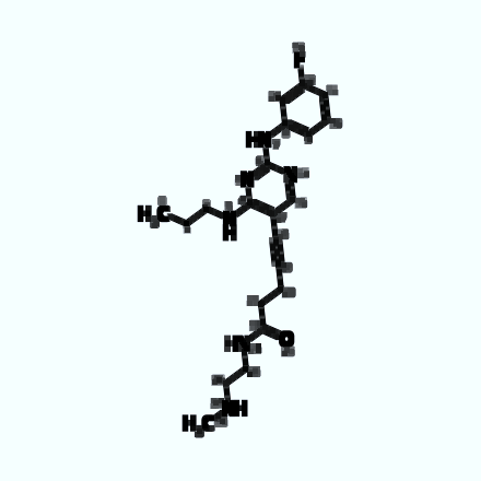 CCCNc1nc(Nc2cccc(F)c2)ncc1C#CCCC(=O)NCCNC